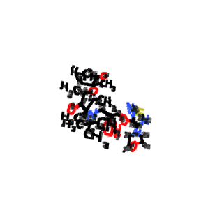 CCC(C)(O[C@@H](C)C(=O)C(C)(CC)N(C[C@H](O)COc1nsnc1N1CCOCC1)C(C)(C)C)C(C)=O